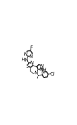 CC(c1ccc(Cl)cn1)N1CCc2sc(Nc3ncc(F)cn3)nc2-c2cn[nH]c21